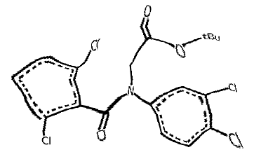 CC(C)(C)OC(=O)CN(C(=O)c1c(Cl)cccc1Cl)c1ccc(Cl)c(Cl)c1